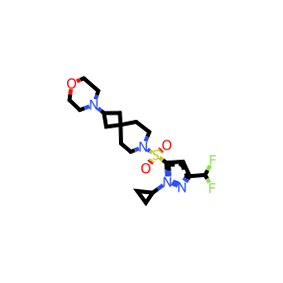 O=S(=O)(c1cc(C(F)F)nn1C1CC1)N1CCC2(CC1)CC(N1CCOCC1)C2